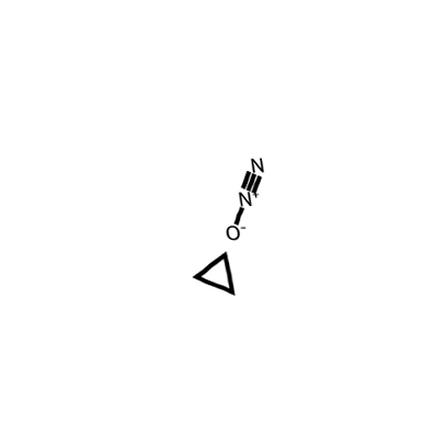 C1CC1.N#[N+][O-]